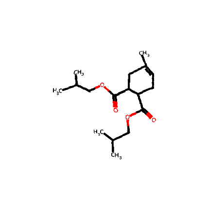 CC1=CCC(C(=O)OCC(C)C)C(C(=O)OCC(C)C)C1